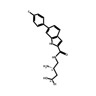 CC[C@@H](O)C[C@H](N)CNC(=O)c1cc2ccc(-c3ccc(F)cc3)cc2[nH]1